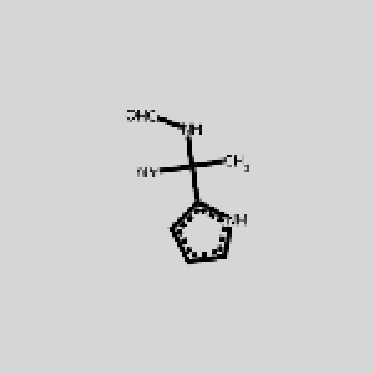 CCCC(C)(NC=O)c1ccc[nH]1